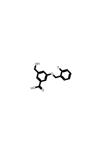 O=C(O)c1cc(CO)cc(OCc2ccccc2F)c1